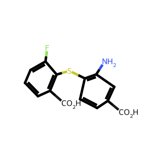 Nc1cc(C(=O)O)ccc1Sc1c(F)cccc1C(=O)O